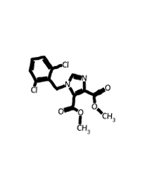 COC(=O)c1ncn(Cc2c(Cl)cccc2Cl)c1C(=O)OC